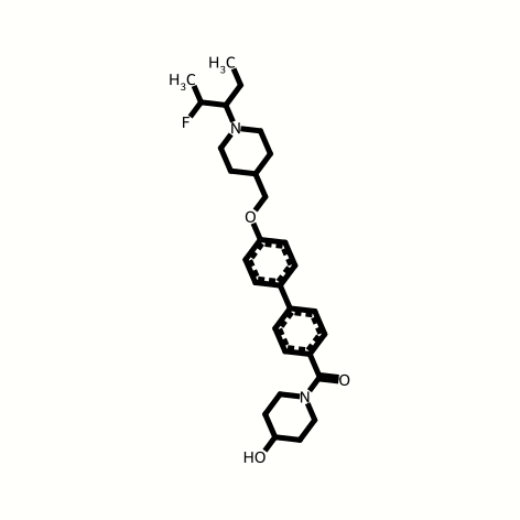 CCC(C(C)F)N1CCC(COc2ccc(-c3ccc(C(=O)N4CCC(O)CC4)cc3)cc2)CC1